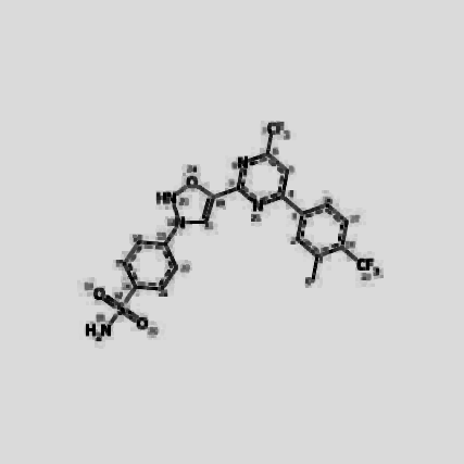 Cc1cc(-c2cc(C(F)(F)F)nc(C3=CN(c4ccc(S(N)(=O)=O)cc4)NO3)n2)ccc1C(F)(F)F